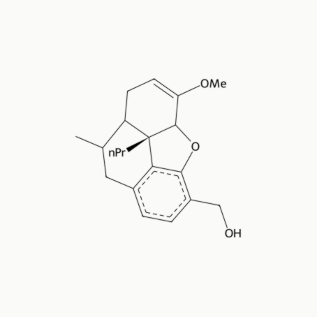 CCC[C@]12c3c4ccc(CO)c3OC1C(OC)=CCC2C(C)C4